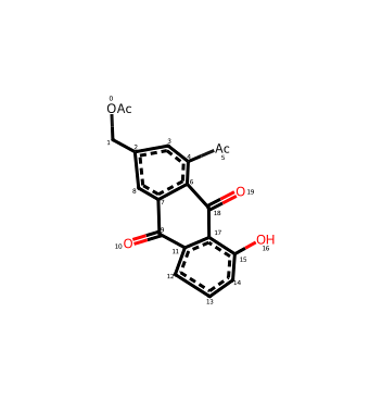 CC(=O)OCc1cc(C(C)=O)c2c(c1)C(=O)c1cccc(O)c1C2=O